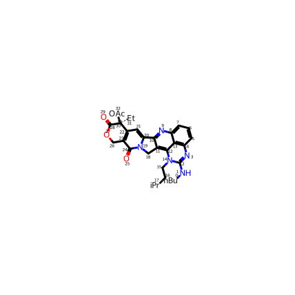 CCCCNC1=Nc2cccc3nc4c(c(c23)N1CCC(C)C)Cn1c-4cc2c(c1=O)COC(=O)[C@@]2(CC)OC(C)=O